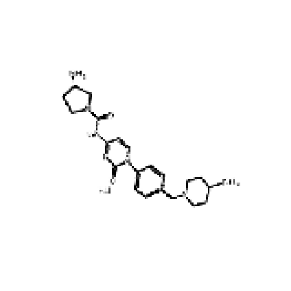 Cl.NC1CCN(Cc2ccc(-n3ccc(NC(=O)N4CC[C@H](N)C4)nc3=O)cc2)CC1